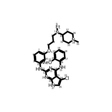 CCN(CCCOc1cccc(Nc2nc(Nc3ccccc3OC)c3c(Cl)c[nH]c3n2)c1)C1CCN(C)CC1